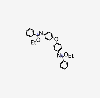 CCO/C(=N\c1ccc(Oc2ccc(/N=C(\OCC)c3ccccc3)cc2)cc1)c1ccccc1